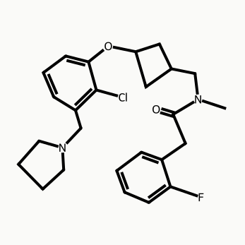 CN(CC1CC(Oc2cccc(CN3CCCC3)c2Cl)C1)C(=O)Cc1ccccc1F